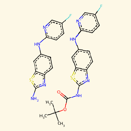 CC(C)(C)OC(=O)Nc1nc2ccc(Nc3ccc(F)cn3)cc2s1.Nc1nc2ccc(Nc3ccc(F)cn3)cc2s1